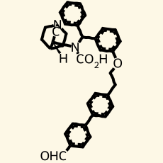 O=Cc1ccc(-c2ccc(CCOc3cccc(C(c4ccccc4)N(C(=O)O)[C@H]4CN5CCC4CC5)c3)cc2)cc1